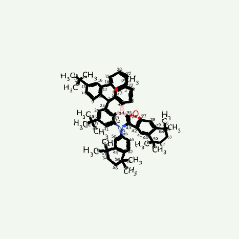 Cc1ccc2c(c1)C(c1ccc(C(C)(C)C)cc1-c1ccccc1)c1cc(C(C)(C)C)cc3c1B2c1oc2cc4c(cc2c1N3c1ccc2c(c1)C(C)(C)CCC2(C)C)C(C)(C)CCC4(C)C